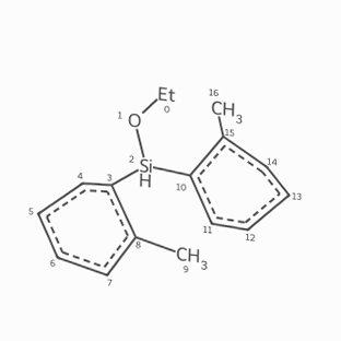 CCO[SiH](c1ccccc1C)c1ccccc1C